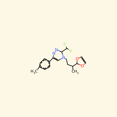 Cc1ccc(C2=CN(CCC(C)C3OC=CO3)C(C(F)F)N=N2)cc1